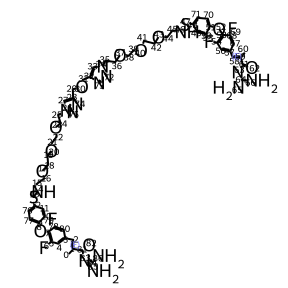 C/C(=C\c1cc(F)c(Oc2ccc(SNCCOCCOCCOCCn3cc(COCc4cn(CCOCCOCCOCCNSc5ccc(Oc6c(F)cc(/C=C(\C)C(=O)N=C(N)N)cc6F)cc5)nn4)nn3)cc2)c(F)c1)C(=O)N=C(N)N